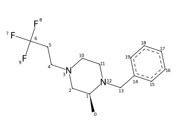 C[C@H]1CN(CCC(F)(F)F)CCN1Cc1ccccc1